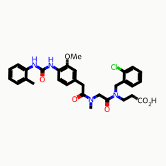 COc1cc(CC(=O)N(C)CC(=O)N(CCC(=O)O)Cc2ccccc2Cl)ccc1NC(=O)Nc1ccccc1C